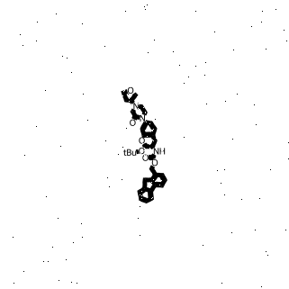 CC(C)(C)OC(=O)C(Cc1ccc(N2CCN(C3CCOC3)CC2=O)cc1)NC(=O)OCc1cccc2c1Cc1ccccc1-2